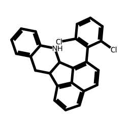 Clc1cccc(Cl)c1-c1ccc2cccc3c2c1C1Nc2ccccc2CC31